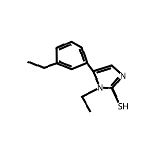 CCc1cccc(-c2cnc(S)n2CC)c1